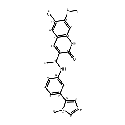 COc1cc2[nH]c(=O)c([C@H](C)Nc3cccc(-c4cncn4C)c3)cc2cc1Cl